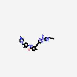 CCCCn1cc(Nc2ncc(C#Cc3cc(C(=O)Nc4ccc(CN5CCN(C)CC5)c(C)c4)ccc3C)cn2)cn1